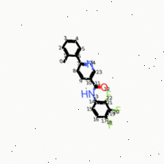 Cc1ccccc1-c1ccc(C(=O)Nc2ccc(F)c(F)c2F)cn1